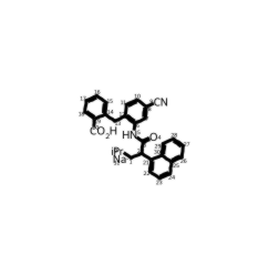 CC(C)CC(C(=O)Nc1cc(C#N)ccc1Cc1ccccc1C(=O)O)c1cccc2ccccc12.[Na]